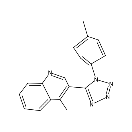 Cc1ccc(-n2nnnc2-c2cnc3ccccc3c2C)cc1